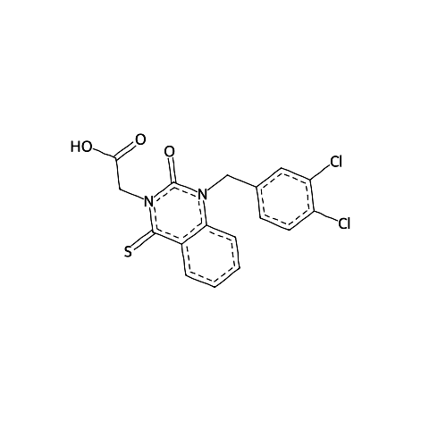 O=C(O)Cn1c(=S)c2ccccc2n(Cc2ccc(Cl)c(Cl)c2)c1=O